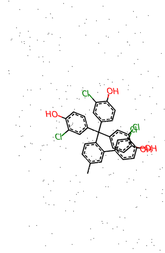 Cc1ccc(C(c2ccc(O)c(Cl)c2)(c2ccc(O)c(Cl)c2)c2ccc(O)c(Cl)c2)c(-c2ccc(O)c(Cl)c2)c1